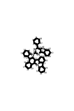 c1ccc(-c2nc(-n3c4ccccc4c4c5ccccc5c5c(c6cccc7c8ccccc8n5c76)c43)nc3c2sc2ccccc23)cc1